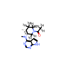 [2H]C([2H])([N+]#[C-])C(=O)N1C([2H])([2H])[C@H](N(C)c2ncnc3[nH]ccc23)[C@H](C)C([2H])([2H])C1([2H])[2H]